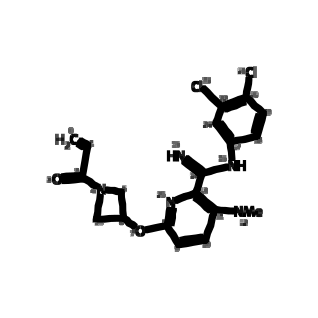 C=CC(=O)N1CC(Oc2ccc(NC)c(C(=N)Nc3ccc(Cl)c(Cl)c3)n2)C1